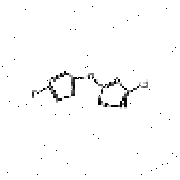 Fc1ccc(Oc2ccnc(Cl)c2)cc1